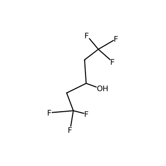 OC(CC(F)(F)F)CC(F)(F)F